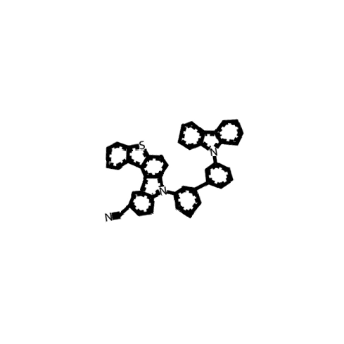 N#Cc1ccc2c(c1)c1c3c(ccc1n2-c1cccc(-c2cccc(-n4c5ccccc5c5ccccc54)c2)c1)sc1ccccc13